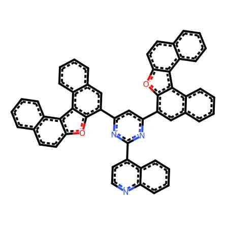 c1ccc2c(c1)ccc1oc3c(-c4cc(-c5cc6ccccc6c6c5oc5ccc7ccccc7c56)nc(-c5ccnc6ccccc56)n4)cc4ccccc4c3c12